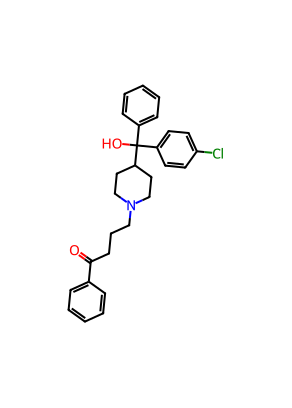 O=C(CCCN1CCC(C(O)(c2ccccc2)c2ccc(Cl)cc2)CC1)c1ccccc1